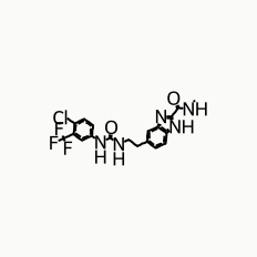 CNC(=O)c1nc2cc(CCNC(=O)Nc3ccc(Cl)c(C(F)(F)F)c3)ccc2[nH]1